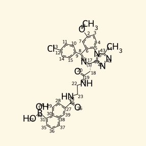 COc1ccc2c(c1)C(c1ccc(Cl)cc1)=N[C@@H](CC(=O)NCCNC(=O)c1ccc3c(B(O)O)cccc3c1)c1nnc(C)n1-2